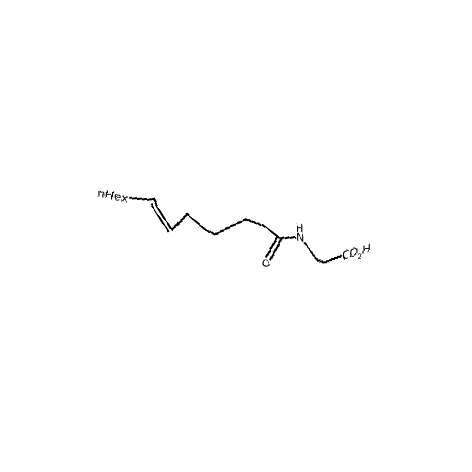 CCCCCCC=CCCCC(=O)NCC(=O)O